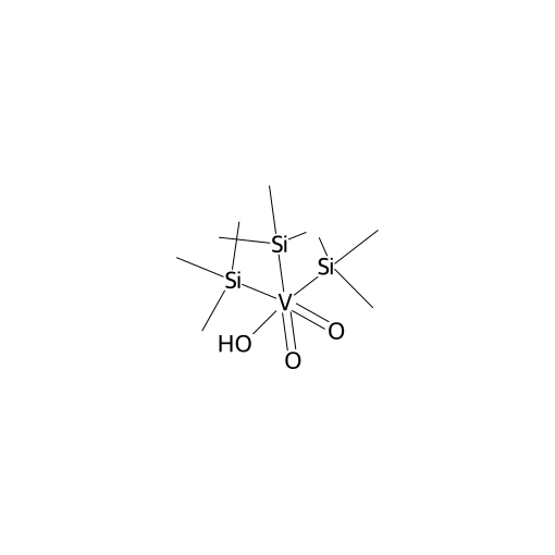 C[Si](C)(C)[V](=[O])(=[O])([OH])([Si](C)(C)C)[Si](C)(C)C